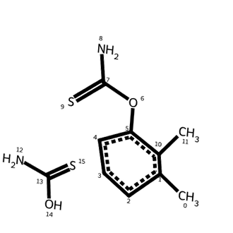 Cc1cccc(OC(N)=S)c1C.NC(O)=S